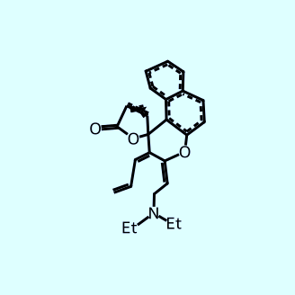 C=C/C=C1\C(=C/CN(CC)CC)Oc2ccc3ccccc3c2C12OC(=O)c1ccccc12